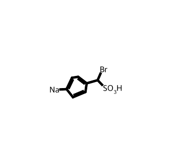 O=S(=O)(O)C(Br)c1cc[c]([Na])cc1